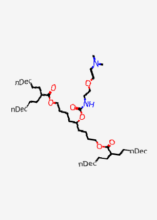 CCCCCCCCCCCCC(CCCCCCCCCCCC)C(=O)OCCCCC(CCCCOC(=O)C(CCCCCCCCCCCC)CCCCCCCCCCCC)OC(=O)NCCOCCN(C)C